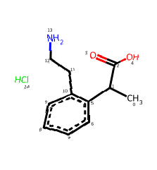 CC(C(=O)O)c1ccccc1CCN.Cl